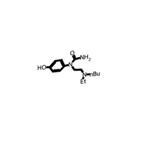 CCCCN(CC)CCN(C(N)=O)c1ccc(O)cc1